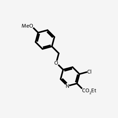 CCOC(=O)c1ncc(OCc2ccc(OC)cc2)cc1Cl